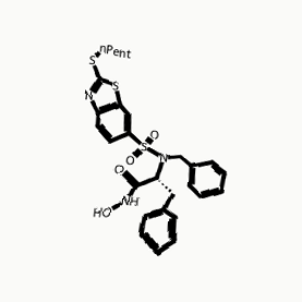 CCCCCSc1nc2ccc(S(=O)(=O)N(Cc3ccccc3)[C@H](Cc3ccccc3)C(=O)NO)cc2s1